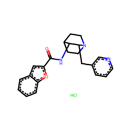 Cl.O=C(NC1C2CCN(CC2)C1Cc1cccnc1)c1cc2ccccc2o1